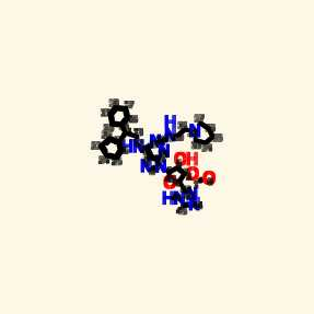 O=CO[C@H]1[C@@H](O)[C@H](n2cnc3c(NCC(c4ccccc4)c4ccccc4)nc(NCCN4CCCCC4)nc32)O[C@@H]1c1nnc[nH]1